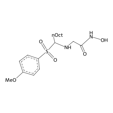 CCCCCCCCC(NCC(=O)NO)S(=O)(=O)c1ccc(OC)cc1